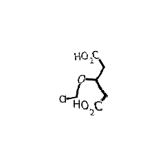 O=C(O)CC(CC(=O)O)OCCl